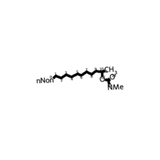 CCCCCCCCCCCCCCCCCCC(C)OC(=O)NC